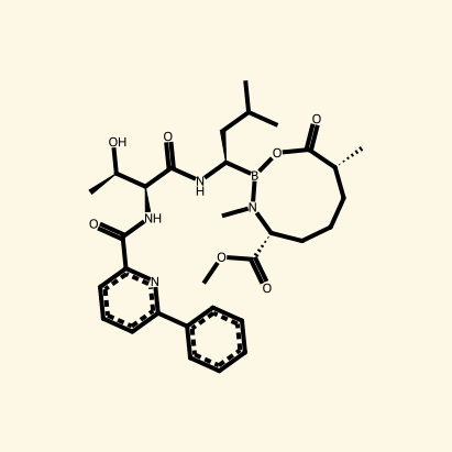 COC(=O)[C@H]1CCC[C@@H](C)C(=O)OB([C@H](CC(C)C)NC(=O)[C@@H](NC(=O)c2cccc(-c3ccccc3)n2)[C@@H](C)O)N1C